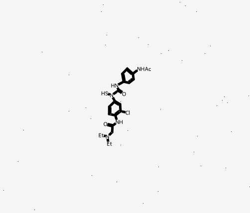 CCN(CC)CC(=O)Nc1ccc(N(S)C(=O)Nc2ccc(NC(C)=O)cc2)cc1Cl